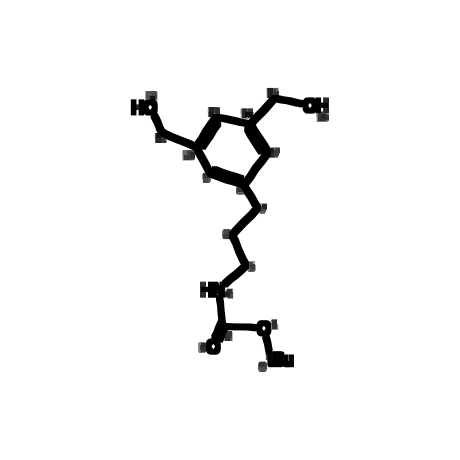 CC(C)(C)OC(=O)NCCCc1cc(CO)cc(CO)c1